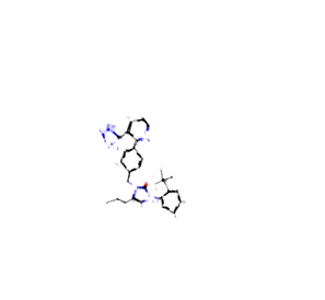 CCCc1cn(-c2ccccc2C(C)(C)C)c(=O)n1Cc1ccc(-c2ncccc2-c2nnn[nH]2)cc1